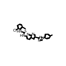 Cc1ccc(-n2cnc(-c3cnc4nc(NC(=S)Nc5c(C)cccc5Cl)ccc4c3)n2)cc1